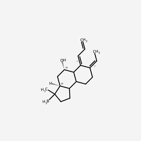 BC1(C)CCC2C3CCC(=C/C)/C(=C\C=C)C3[C@@H](O)C[C@@H]21